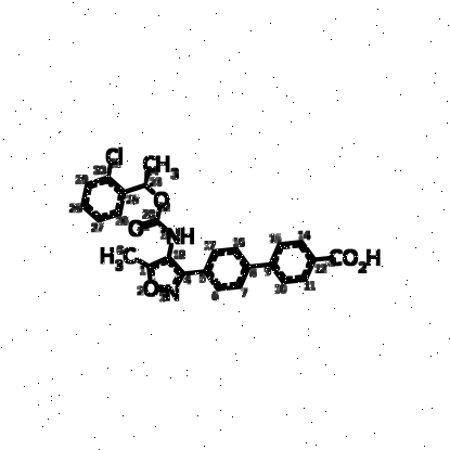 Cc1onc(-c2ccc(-c3ccc(C(=O)O)cc3)cc2)c1NC(=O)O[C@H](C)c1ccccc1Cl